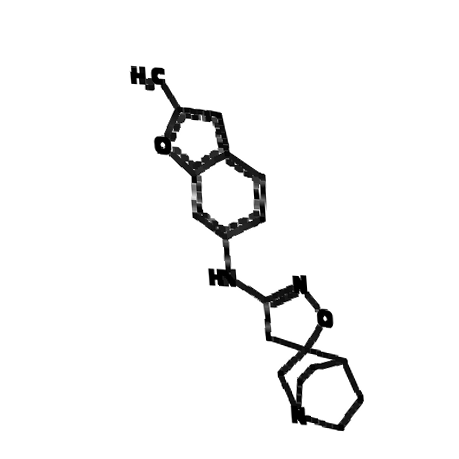 Cc1cc2ccc(NC3=NOC4(C3)CN3CCC4CC3)cc2o1